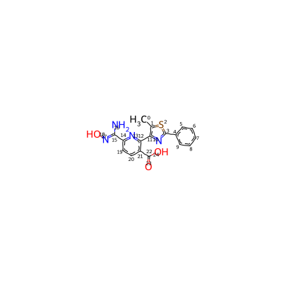 Cc1sc(-c2ccccc2)nc1-c1nc(C(N)=NO)ccc1C(=O)O